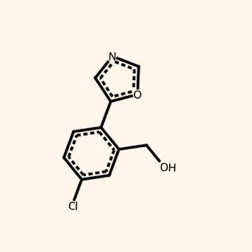 OCc1cc(Cl)ccc1-c1cnco1